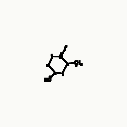 CC1CC(O)CCN1I